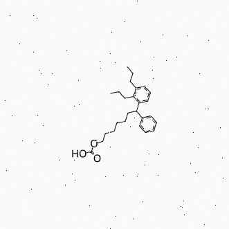 CCCc1cccc(C(CCCCCCOC(=O)O)c2ccccc2)c1CCC